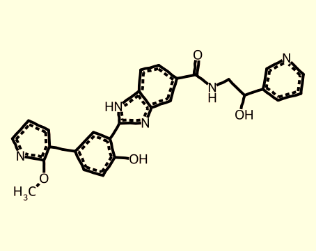 COc1ncccc1-c1ccc(O)c(-c2nc3cc(C(=O)NCC(O)c4cccnc4)ccc3[nH]2)c1